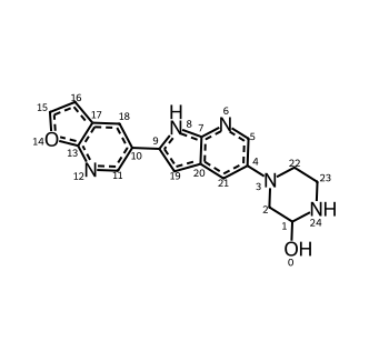 OC1CN(c2cnc3[nH]c(-c4cnc5occc5c4)cc3c2)CCN1